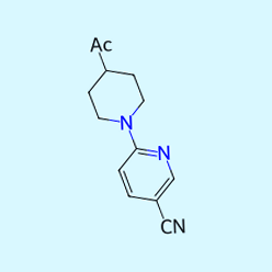 CC(=O)C1CCN(c2ccc(C#N)cn2)CC1